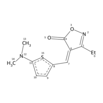 CCC1=NOC(=O)C1=Cc1ccc(N(C)C)s1